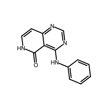 O=c1[nH]ccc2ncnc(Nc3ccccc3)c12